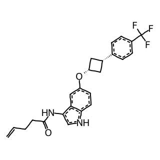 C=CCCC(=O)Nc1c[nH]c2ccc(O[C@H]3C[C@@H](c4ccc(C(F)(F)F)cc4)C3)cc12